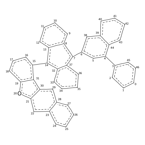 c1ccc(-c2cc(-c3c4ccccc4c(-c4cccc5oc6cc7ccccc7cc6c45)c4ccccc34)cc3ccccc23)cc1